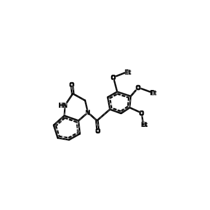 CCOc1cc(C(=O)N2CC(=O)Nc3ccccc32)cc(OCC)c1OCC